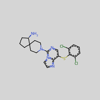 N[C@@H]1CCCC12CCN(c1ncc(Sc3c(Cl)cccc3Cl)c3nccn13)CC2